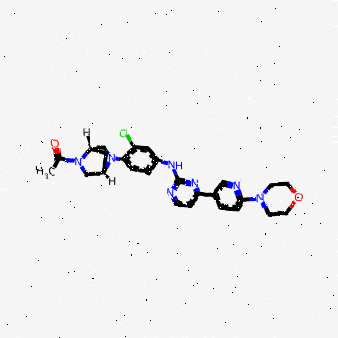 CC(=O)N1C[C@@H]2C[C@H]1CN2c1ccc(Nc2nccc(-c3ccc(N4CCOCC4)nc3)n2)cc1Cl